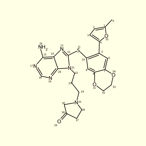 Cc1ccc(-c2cc3c(cc2Sc2nc4c(N)ncnc4n2CCCN2CCC(=O)C2)OCCO3)o1